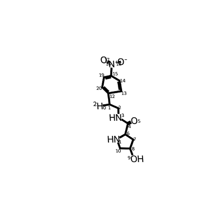 [2H]C(CNC(=O)C1CC(O)CN1)c1ccc([N+](=O)[O-])cc1